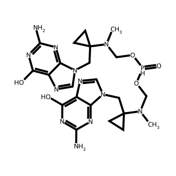 CN(CO[PH](=O)OCN(C)C1(Cn2cnc3c(O)nc(N)nc32)CC1)C1(Cn2cnc3c(O)nc(N)nc32)CC1